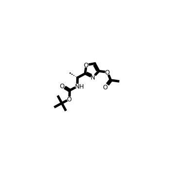 CC(=O)Oc1coc([C@@H](C)NC(=O)OC(C)(C)C)n1